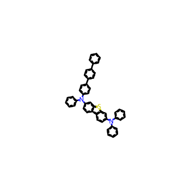 c1ccc(-c2ccc(-c3ccc(N(c4ccccc4)c4ccc5c(c4)sc4cc(N(c6ccccc6)c6ccccc6)ccc45)cc3)cc2)cc1